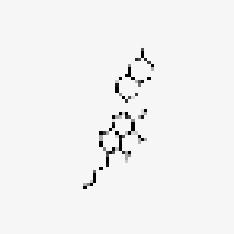 C=CCCc1ccc2cc(C3CCC4CC(C)CCC4C3)c(F)c(F)c2c1F